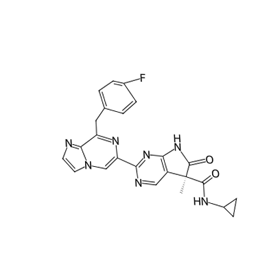 C[C@@]1(C(=O)NC2CC2)C(=O)Nc2nc(-c3cn4ccnc4c(Cc4ccc(F)cc4)n3)ncc21